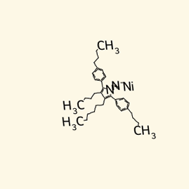 CCCCCCC1=C(c2ccc(CCCC)cc2)[N+](=[N-])C(c2ccc(CCCC)cc2)=C1CCCC.[Ni]